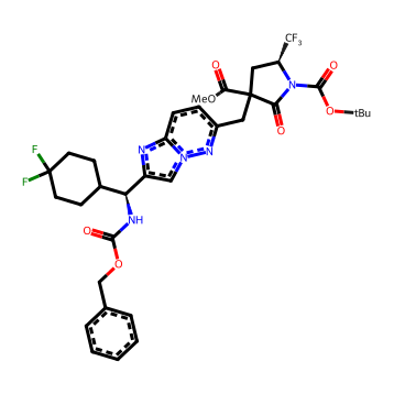 COC(=O)C1(Cc2ccc3nc([C@@H](NC(=O)OCc4ccccc4)C4CCC(F)(F)CC4)cn3n2)C[C@@H](C(F)(F)F)N(C(=O)OC(C)(C)C)C1=O